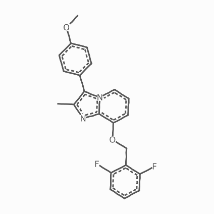 COc1ccc(-c2c(C)nc3c(OCc4c(F)cccc4F)cccn23)cc1